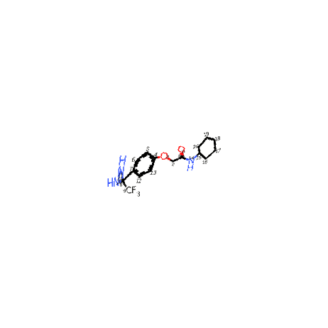 O=C(COc1ccc(C2(C(F)(F)F)NN2)cc1)NC1CCCCC1